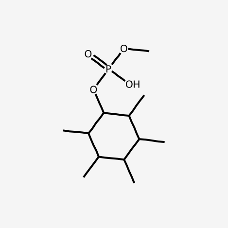 COP(=O)(O)OC1C(C)C(C)C(C)C(C)C1C